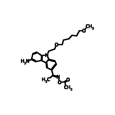 COCCCCCCOCCn1c2ccc(N)cc2c2cc(/C(C)=N/OC(C)=O)ccc21